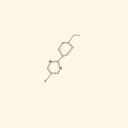 CCc1ccc(-c2ncc(F)cn2)cc1